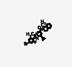 Cc1c(-c2ccc(Br)cc2F)nc2c(C3CC3)cc(C(=O)N3CCc4ccccc4[C@H]3C)cn12